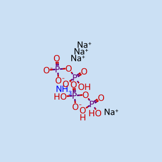 N.O=P([O-])(O)OP(=O)(O)O.O=P([O-])([O-])OP(=O)([O-])O.[Na+].[Na+].[Na+].[Na+]